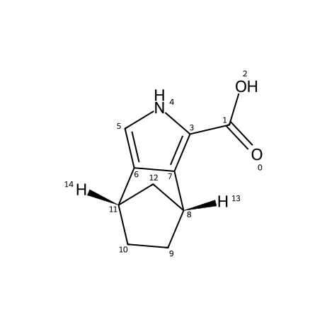 O=C(O)c1[nH]cc2c1[C@@H]1CC[C@H]2C1